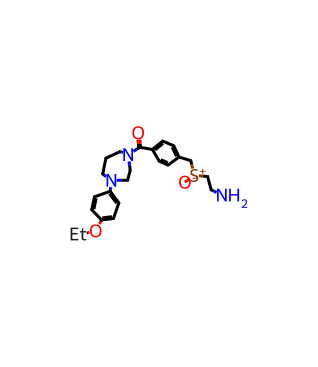 CCOc1ccc(N2CCCN(C(=O)c3ccc(C[S+]([O-])CCN)cc3)CC2)cc1